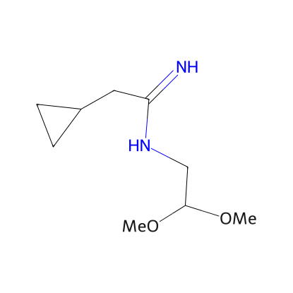 COC(CNC(=N)CC1CC1)OC